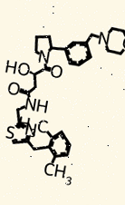 Cc1cccc(C)c1Cc1csc(CNC(=O)C[C@@H](O)C(=O)N2CCCC2c2cccc(CN3CCOCC3)c2)n1